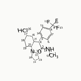 CNC(=O)C(c1ccc(C(F)(F)F)cc1)C1CCCCC1N1CCCC1.Cl